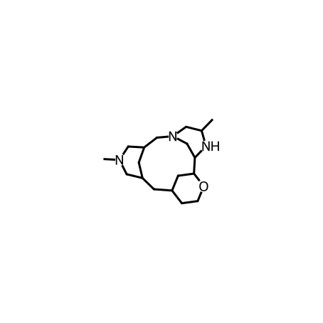 CC1CN2CC3CC(CC4CCOC(C4)C(C2)N1)CN(C)C3